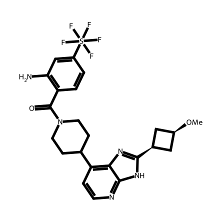 CO[C@H]1C[C@@H](c2nc3c(C4CCN(C(=O)c5ccc(S(F)(F)(F)(F)F)cc5N)CC4)ccnc3[nH]2)C1